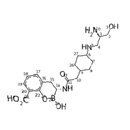 N[C@@H](CO)CNC1CCC(CC(=O)N[C@H]2Cc3cccc(C(=O)O)c3OB2O)CC1